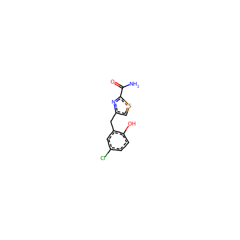 NC(=O)c1nc(Cc2cc(Cl)ccc2O)cs1